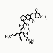 CC/C=C/C(C#N)=C(\C=C(/C)NC(=O)N1CCCc2cc(CN3CCN(C)CC3=O)c(C=O)nc21)NCCONO